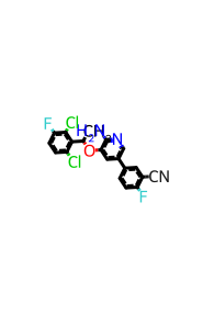 CC(Oc1cc(-c2ccc(F)c(C#N)c2)cnc1N)c1c(Cl)ccc(F)c1Cl